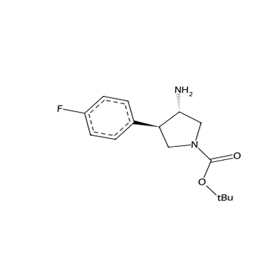 CC(C)(C)OC(=O)N1C[C@@H](N)[C@H](c2ccc(F)cc2)C1